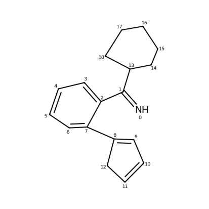 N=C(c1ccccc1C1=CC=CC1)C1CCCCC1